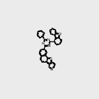 c1ccc(-c2nc(-c3ccc4ccc5c6cnccc6sc5c4c3)nc(-c3cccc4oc5ccccc5c34)n2)cc1